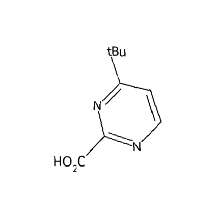 CC(C)(C)c1ccnc(C(=O)O)n1